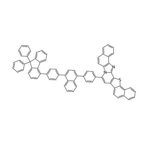 c1ccc(C2(c3ccccc3)c3ccccc3-c3c(-c4ccc(-c5ccc(-c6ccc(-c7cc8c9ccc%10ccccc%10c9sc8c8nc9c%10ccccc%10ccc9n78)cc6)c6ccccc56)cc4)cccc32)cc1